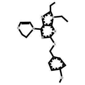 CCc1nc2c(N3C=COCC3)nc(SCc3ccc(OC)cc3)nc2n1CC